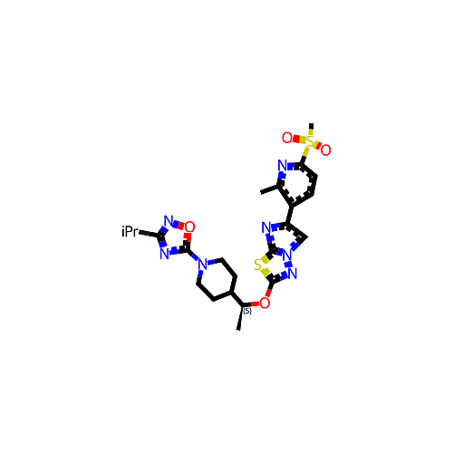 Cc1nc(S(C)(=O)=O)ccc1-c1cn2nc(O[C@@H](C)C3CCN(c4nc(C(C)C)no4)CC3)sc2n1